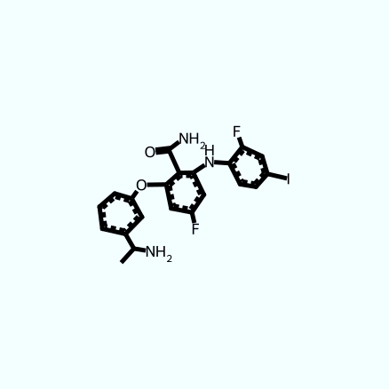 CC(N)c1cccc(Oc2cc(F)cc(Nc3ccc(I)cc3F)c2C(N)=O)c1